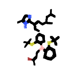 CC(Br)=CCB(c1ccccc1SC(C)(C)C)c1ccccc1SC(C)(C)C.CCC(CCC(C)CC(C)C)c1ncc(C)[nH]1